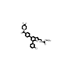 CC(C)(C)OC(=O)NCc1cc2cc(-c3ccc(C(=O)N4CCC(F)(F)CC4)cc3)cc(-c3cccc(Cl)c3)c2o1